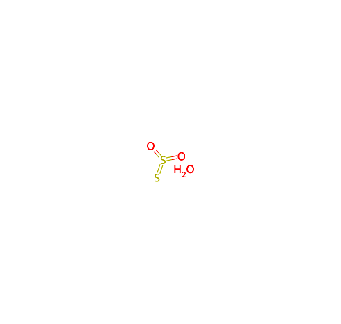 O.O=S(=O)=S